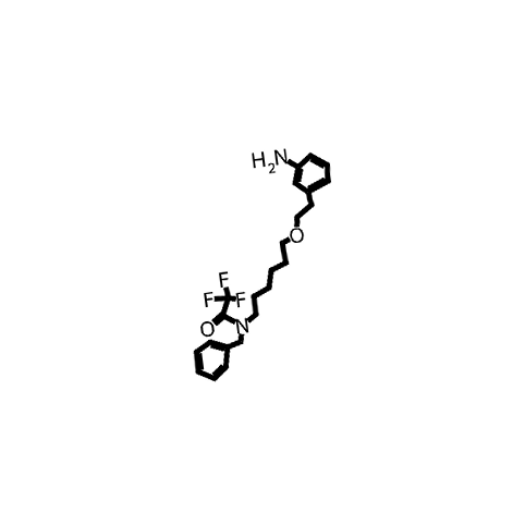 Nc1cccc(CCOCCCCCCN(Cc2ccccc2)C(=O)C(F)(F)F)c1